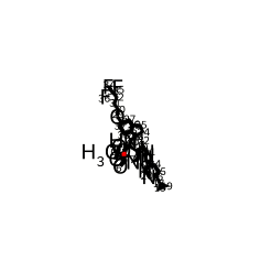 CS(=O)(=O)CC(=O)Nc1c2c(nn1-c1ccc(C3CC3)nn1)C[C@]1(CCc3cc(OCCCC(F)(F)F)ccc31)NC2=O